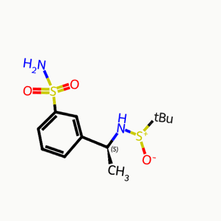 C[C@H](N[S+]([O-])C(C)(C)C)c1cccc(S(N)(=O)=O)c1